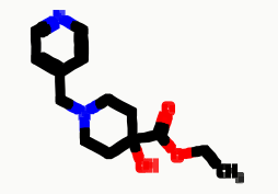 CCOC(=O)C1(O)CCN(Cc2ccncc2)CC1